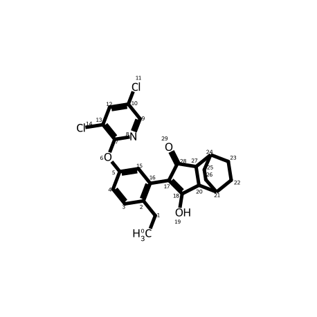 CCc1ccc(Oc2ncc(Cl)cc2Cl)cc1C1=C(O)C2C3CCC(CC3)C2C1=O